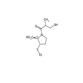 CCSC1CCN(C(=O)C(C)CS)[C@@H]1C(=O)O